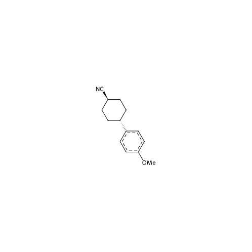 COc1ccc([C@H]2CC[C@H](C#N)CC2)cc1